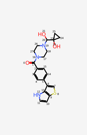 O=C(c1ccc(-c2csc3cc[nH]c23)cc1)N1CCN(C(O)C2(O)CC2)CC1